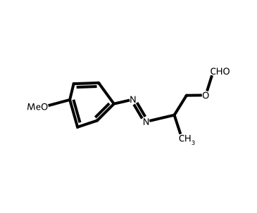 COc1ccc(/N=N/C(C)COC=O)cc1